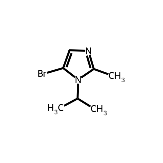 Cc1ncc(Br)n1C(C)C